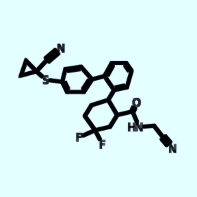 N#CCNC(=O)C1CC(F)(F)CCC1c1ccccc1-c1ccc(SC2(C#N)CC2)cc1